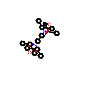 c1ccc(-c2ccc3c(c2)C2(c4ccccc4Oc4ccccc42)c2cc(-c4ccccc4)ccc2N3c2ccc(-c3ccc(N4c5ccc(-c6ccccc6)cc5C5(c6ccccc6Oc6ccccc65)c5cc(-c6ccccc6)ccc54)cc3)cc2)cc1